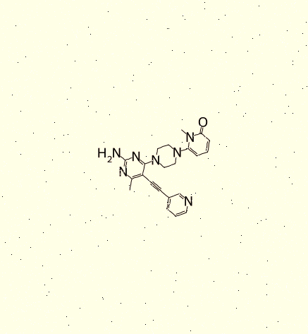 Cc1nc(N)nc(N2CCN(c3cccc(=O)n3C)CC2)c1C#Cc1cccnc1